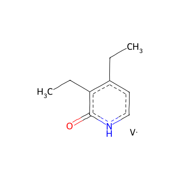 CCc1cc[nH]c(=O)c1CC.[V]